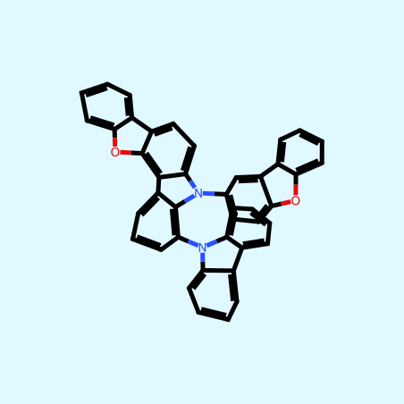 c1ccc2c(c1)oc1ccc(-n3c4ccc5c6ccccc6oc5c4c4cccc(-n5c6ccccc6c6ccccc65)c43)cc12